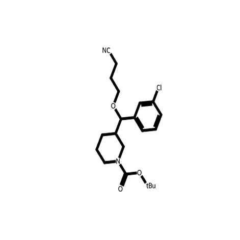 CC(C)(C)OC(=O)N1CCCC(C(OCCCC#N)c2cccc(Cl)c2)C1